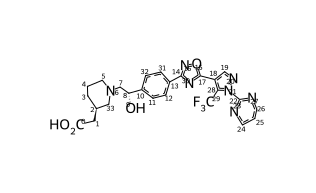 O=C(O)C[C@H]1CCCN(C[C@@H](O)c2ccc(-c3noc(-c4cnn(-c5ncccn5)c4C(F)(F)F)n3)cc2)C1